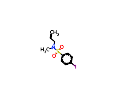 C=CCN(C)S(=O)(=O)c1ccc(I)cc1